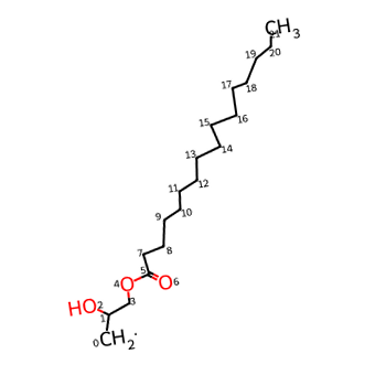 [CH2]C(O)COC(=O)CCCCCCCCCCCCCCC